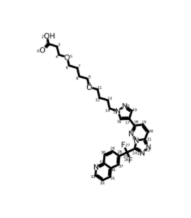 O=C(O)CCOCCCCOCCCCn1cc(-c2ccc3nnc(C(F)(F)c4ccc5ncccc5c4)n3n2)cn1